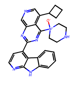 [O-][N+]1(c2nc(-c3ccnc4[nH]c5ccccc5c34)nc3cncc(C4CCC4)c23)CCNCC1